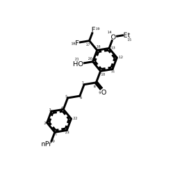 CCCc1ccc(CCCC(=O)c2ccc(OCC)c(C(F)F)c2O)cc1